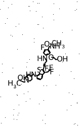 CNC(=O)c1cc(OCCO)c(NCC#Cc2sc3c(NC4CCN(CC(C)O)CC4)cccc3c2CC(F)(F)F)cc1F